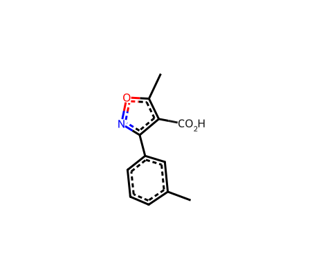 Cc1cccc(-c2noc(C)c2C(=O)O)c1